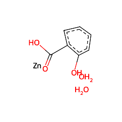 O.O.O=C(O)c1ccccc1O.[Zn]